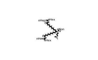 CCCCCCCCCC(=O)N(CCCN(C)C)C(CCCCCCCCC(=O)OC(CCCCCC)CCCCCC)CCCCCCCCC(=O)OC(CCCCCC)CCCCCCC